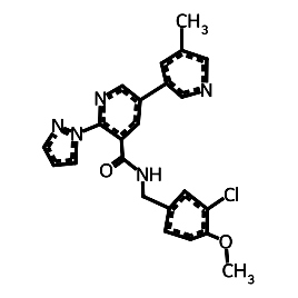 COc1ccc(CNC(=O)c2cc(-c3cncc(C)c3)cnc2-n2cccn2)cc1Cl